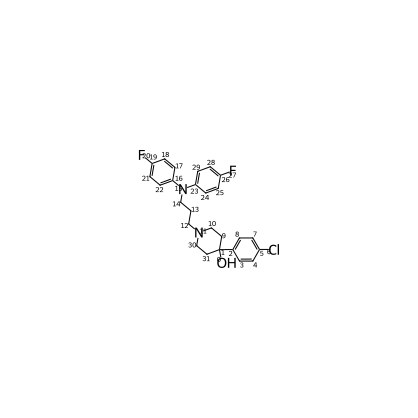 OC1(c2ccc(Cl)cc2)CCN(CCCN(c2ccc(F)cc2)c2ccc(F)cc2)CC1